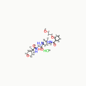 COCCCOc1ccccc1C(=O)NC[C@@H](C[C@H](N)[C@@H](O)CNC(=O)C(C)(C)C1CCOCC1)C(C)C.Cl